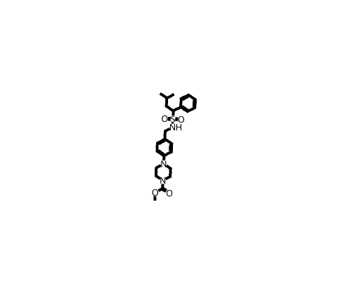 COC(=O)N1CCN(c2ccc(CNS(=O)(=O)C(CC(C)C)c3ccccc3)cc2)CC1